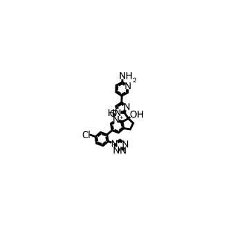 Nc1ccc(-c2c[nH]c(C3(O)CCc4cc(-c5cc(Cl)ccc5-n5cnnn5)c[n+]([O-])c43)n2)cn1